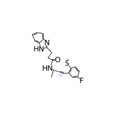 CSc1ccc(F)cc1/C=C/C(C)NC(=O)CCc1nc2ccccc2[nH]1